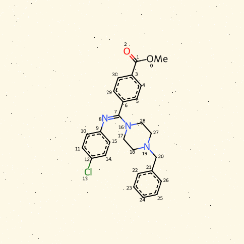 COC(=O)c1ccc(C(=Nc2ccc(Cl)cc2)N2CCN(Cc3ccccc3)CC2)cc1